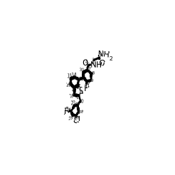 NC(=O)CNC(=O)c1ccc(F)c(-c2cccc3cc(Cc4cc(F)cc(Cl)c4)sc23)c1